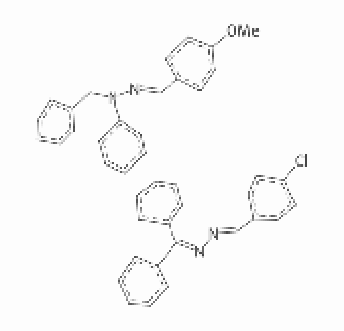 COc1ccc(C=NN(Cc2ccccc2)c2ccccc2)cc1.Clc1ccc(C=NN=C(c2ccccc2)c2ccccc2)cc1